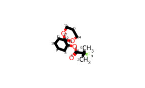 CC(C)(F)C(=O)OC1CCCCC12OCCCO2